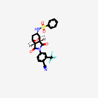 C[C@]12O[C@](C)(C[C@H]1NS(=O)(=O)c1ccccc1)[C@H]1C(=O)N(c3ccc(C#N)c(C(F)(F)F)c3)C(=O)[C@H]12